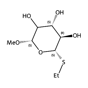 CCS[C@@H]1O[C@H](OC)C(O)[C@H](O)[C@H]1O